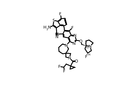 N#Cc1c(N)sc2c(F)ccc(-c3c(Cl)cc4c(N5CCCCC6(CN(C(=O)C7(CC(F)F)CC7)C6)C5)nc(OC[C@@]56CCCN5C[C@H](F)C6)nc4c3F)c12